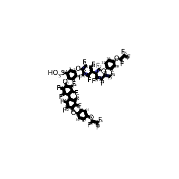 O=S(=O)(O)c1cc(OC(=C\F)/C(F)=C(/F)C(=CF)C(=C\F)/C(F)=C(F)\C(=C\F)Oc2ccc(OC(F)=C(F)F)cc2)ccc1Oc1c(F)c(F)c(-c2c(F)c(F)c(Oc3ccc(OC(F)=C(F)F)cc3)c(F)c2F)c(F)c1F